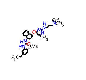 COc1ccc(CC(F)(F)F)cc1NC(=O)Nc1ccc(Oc2cc(C)nc(NCCCN(C)C)n2)c2ccccc12